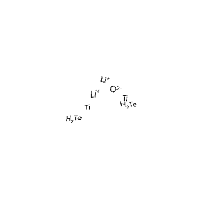 [Li+].[Li+].[O-2].[TeH2].[TeH2].[Ti].[Ti]